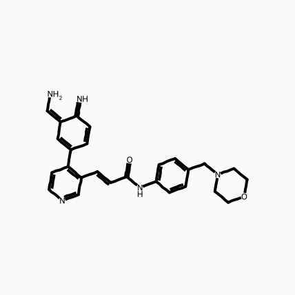 N=C1C=CC(c2ccncc2/C=C/C(=O)Nc2ccc(CN3CCOCC3)cc2)=C/C1=C/N